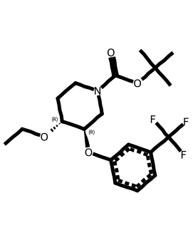 CCO[C@@H]1CCN(C(=O)OC(C)(C)C)C[C@H]1Oc1cccc(C(F)(F)F)c1